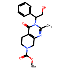 Cc1nc2c(c(=O)n1C(CO)c1ccccc1)CCN(C(=O)OC(C)(C)C)C2